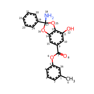 Cc1cccc(OC(=O)c2cc(O)c3c(c2)OC(N)(c2ccccc2)O3)c1